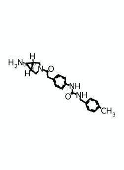 Cc1ccc(CNC(=O)Nc2ccc(CC(=O)N3C[C@@H]4[C@@H](N)[C@@H]4C3)cc2)cc1